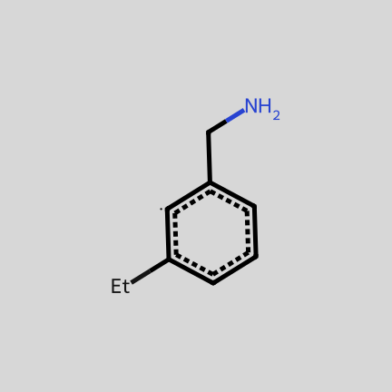 CCc1[c]c(CN)ccc1